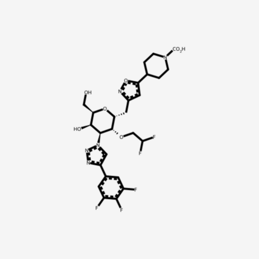 O=C(O)N1CCC(c2cc(C[C@H]3O[C@H](CO)[C@H](O)[C@H](n4cc(-c5cc(F)c(F)c(F)c5)nn4)[C@H]3OCC(F)F)no2)CC1